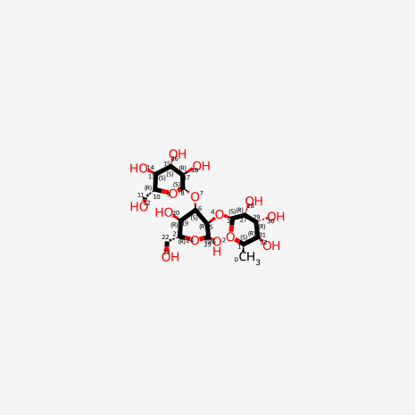 C[C@@H]1O[C@@H](O[C@@H]2[C@@H](O[C@@H]3O[C@H](CO)[C@@H](O)[C@H](O)[C@H]3O)[C@H](O)[C@@H](CO)O[C@H]2O)[C@H](O)[C@H](O)[C@H]1O